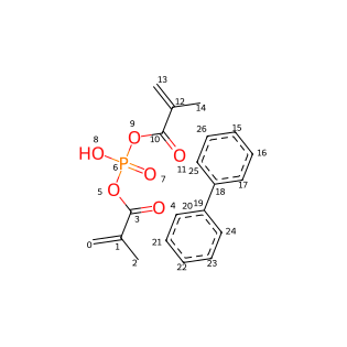 C=C(C)C(=O)OP(=O)(O)OC(=O)C(=C)C.c1ccc(-c2ccccc2)cc1